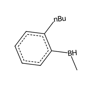 CBc1ccccc1CCCC